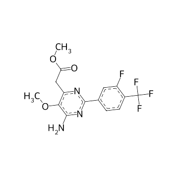 COC(=O)Cc1nc(-c2ccc(C(F)(F)F)c(F)c2)nc(N)c1OC